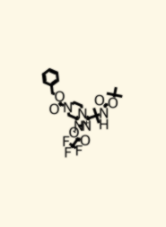 CC(C)(C)OC(=O)NC(C)(C)c1n[n+](OC(=O)C(F)(F)F)c2n1CCN(C(=O)OCc1ccccc1)C2